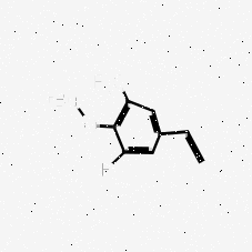 C=Cc1cc(F)c(OC(C)(C)C)c(C(F)(F)F)c1